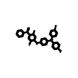 Cc1cc(Sc2ccc([S+](c3ccc(F)cc3)c3ccc(F)cc3)cc2)c(F)cc1C(=O)c1ccccc1